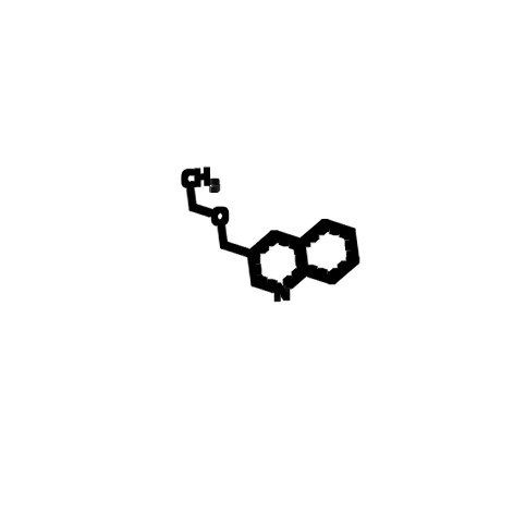 CCOCc1cnc2ccccc2c1